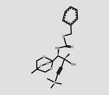 CC12COC([C@@H](NC(=O)OCc3ccccc3)[C@](C)(O)C#C[Si](C)(C)C)(OC1)OC2